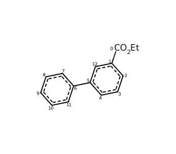 CCOC(=O)c1cccc(-c2ccccc2)c1